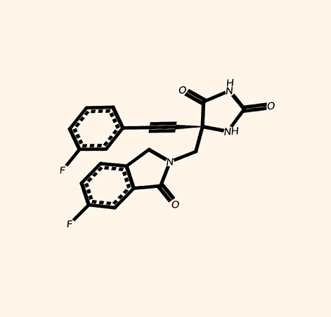 O=C1NC(=O)[C@@](C#Cc2cccc(F)c2)(CN2Cc3ccc(F)cc3C2=O)N1